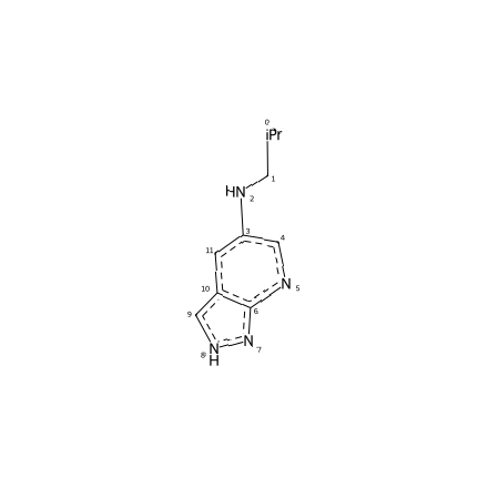 CC(C)CNc1cnc2n[nH]cc2c1